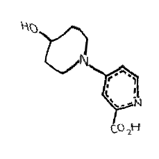 O=C(O)c1cc(N2CCC(O)CC2)ccn1